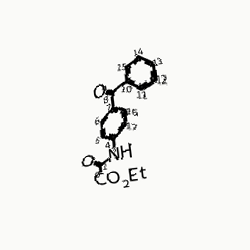 CCOC(=O)C(=O)Nc1ccc(C(=O)c2ccccc2)cc1